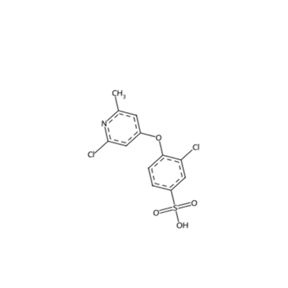 Cc1cc(Oc2ccc(S(=O)(=O)O)cc2Cl)cc(Cl)n1